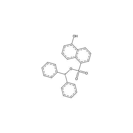 O=S(=O)(OI(c1ccccc1)c1ccccc1)c1cccc2c(O)cccc12